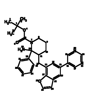 CC(C)(C)OC(=O)N1CCCC(Cc2cc(-c3cncnc3)cc3ccoc23)C1(N)c1ccccc1